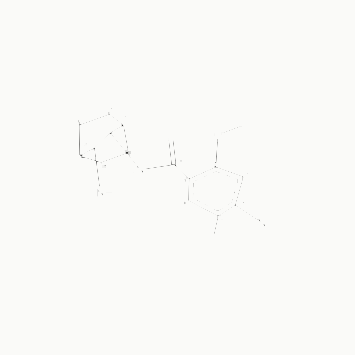 COc1cc(N)c(Cl)cc1C(=O)NC1C2CCC(CC2)C1N